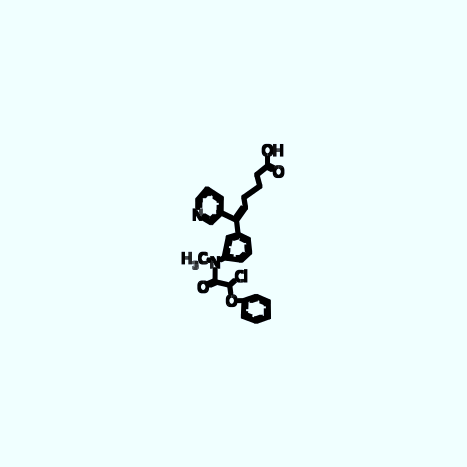 CN(C(=O)C(Cl)Oc1ccccc1)c1cccc(C(=CCCCC(=O)O)c2cccnc2)c1